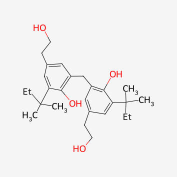 CCC(C)(C)c1cc(CCO)cc(Cc2cc(CCO)cc(C(C)(C)CC)c2O)c1O